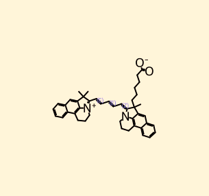 CC1(C)C(/C=C/C=C/C=C2\N3CCCc4c3c(cc3ccccc43)C2(C)CCCCCC(=O)[O-])=[N+]2CCCc3c2c1cc1ccccc31